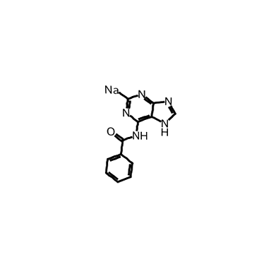 O=C(Nc1n[c]([Na])nc2nc[nH]c12)c1ccccc1